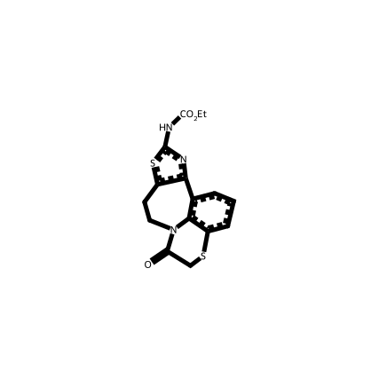 CCOC(=O)Nc1nc2c(s1)CCN1C(=O)CSc3cccc-2c31